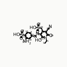 CCn1c(O)c(N=Nc2ccc(S(=O)(=O)O)c(N)c2)c(CS(=O)(=O)O)c(C#N)c1=O